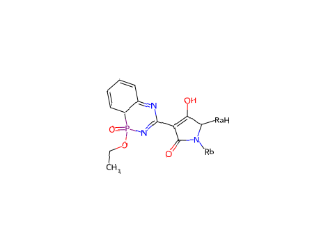 CCOP1(=O)N=C(C2=C(O)[CH]([RaH])[N]([Rb])C2=O)N=C2C=CC=CC21